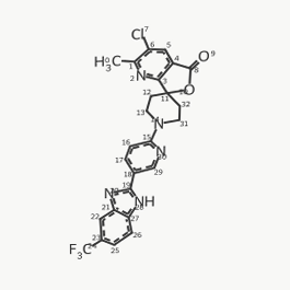 Cc1nc2c(cc1Cl)C(=O)OC21CCN(c2ccc(-c3nc4cc(C(F)(F)F)ccc4[nH]3)cn2)CC1